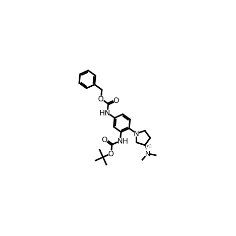 CN(C)[C@H]1CCN(c2ccc(NC(=O)OCc3ccccc3)cc2NC(=O)OC(C)(C)C)C1